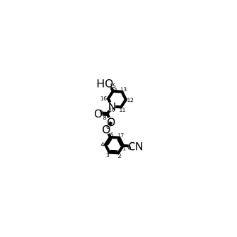 N#Cc1cccc(OOC(=O)N2CCCC(O)C2)c1